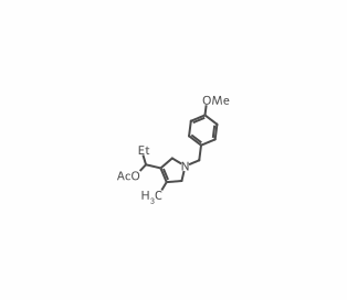 CCC(OC(C)=O)C1=C(C)CN(Cc2ccc(OC)cc2)C1